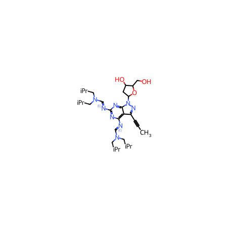 CC#Cc1nn(C2CC(O)C(CO)O2)c2nc(/N=C/N(CC(C)C)CC(C)C)nc(/N=C/N(CC(C)C)CC(C)C)c12